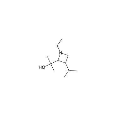 CCN1CC(C(C)C)C1C(C)(C)O